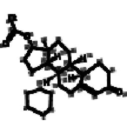 C1CCCCC1.CCC(=O)O[C@H]1CC[C@H]2[C@@H]3CCC4=CC(=O)CC[C@@H]4[C@H]3CC[C@]12C